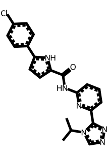 CC(C)n1cnnc1-c1cccc(NC(=O)c2ccc(-c3ccc(Cl)cc3)[nH]2)n1